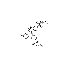 CC(=O)NS(=O)(=O)C1=CC=C(N(C(=O)C2=CC(=S)CC=C2)c2ccc(S(=O)(=O)NC(C)=O)cc2)C(=S)C1